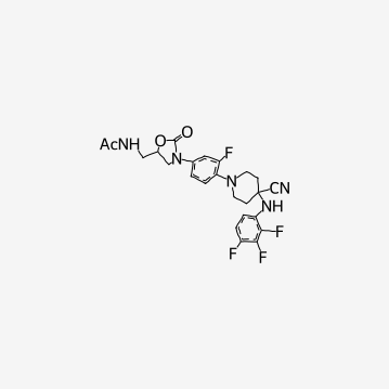 CC(=O)NCC1CN(c2ccc(N3CCC(C#N)(Nc4ccc(F)c(F)c4F)CC3)c(F)c2)C(=O)O1